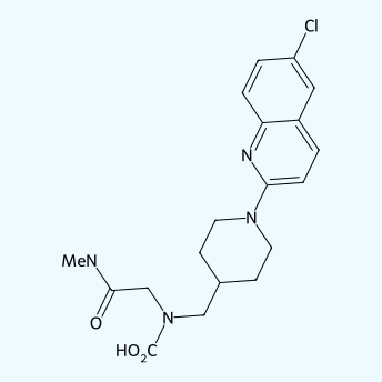 CNC(=O)CN(CC1CCN(c2ccc3cc(Cl)ccc3n2)CC1)C(=O)O